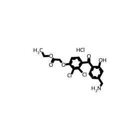 CCOC(=O)COc1ccc(C(=O)c2ccc(CN)cc2O)c(Cl)c1Cl.Cl